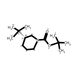 CC(C)(C)OC(=O)N1CCC[C@H](C(C)(C)C)C1